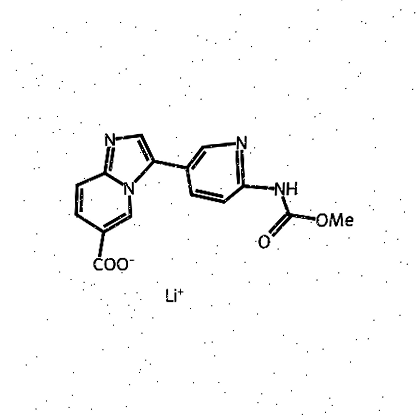 COC(=O)Nc1ccc(-c2cnc3ccc(C(=O)[O-])cn23)cn1.[Li+]